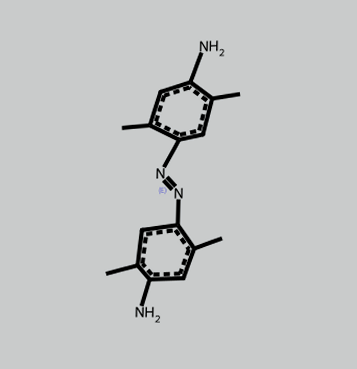 Cc1cc(/N=N/c2cc(C)c(N)cc2C)c(C)cc1N